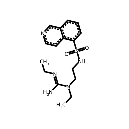 CCN=C(N)N(CC)CCNS(=O)(=O)c1cccc2cnccc12